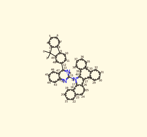 CC1(C)c2ccccc2-c2ccc(-c3nc(-n4c5c6ccccc6ccc5c5c6ccccc6c6ccccc6c54)nc4ccccc34)cc21